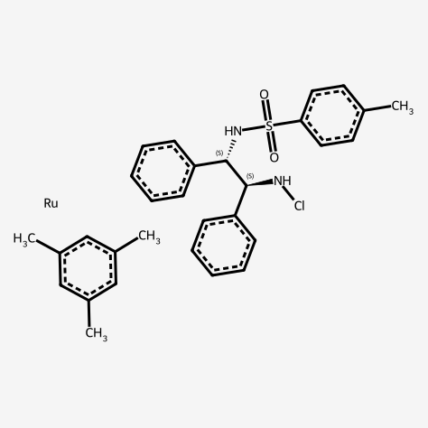 Cc1cc(C)cc(C)c1.Cc1ccc(S(=O)(=O)N[C@@H](c2ccccc2)[C@@H](NCl)c2ccccc2)cc1.[Ru]